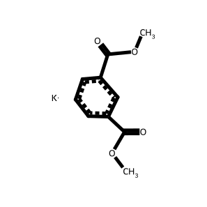 COC(=O)c1cccc(C(=O)OC)c1.[K]